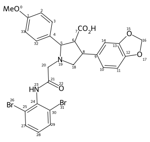 COc1ccc(C2C(C(=O)O)C(c3ccc4c(c3)OCO4)CN2CC(=O)Nc2c(Br)cccc2Br)cc1